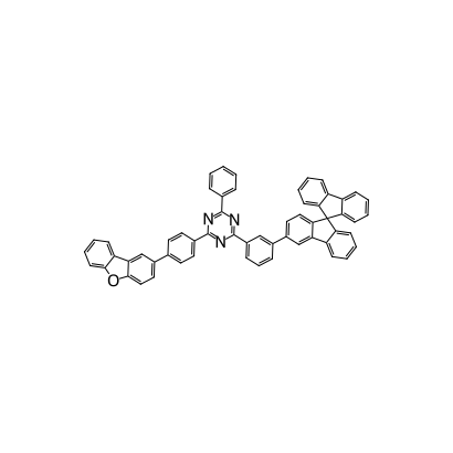 c1ccc(-c2nc(-c3ccc(-c4ccc5oc6ccccc6c5c4)cc3)nc(-c3cccc(-c4ccc5c(c4)-c4ccccc4C54c5ccccc5-c5ccccc54)c3)n2)cc1